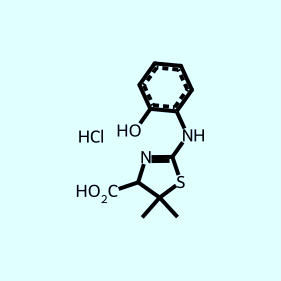 CC1(C)SC(Nc2ccccc2O)=NC1C(=O)O.Cl